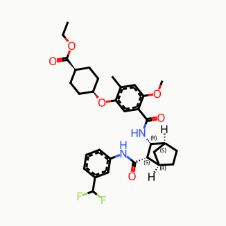 CCOC(=O)[C@H]1CC[C@@H](Oc2cc(C(=O)N[C@@H]3[C@H]4CC[C@H](C4)[C@@H]3C(=O)Nc3cccc(C(F)F)c3)c(OC)cc2C)CC1